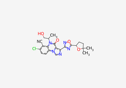 CC(CO)n1c(=O)c2c(-c3noc(C4CCC(C)(C)O4)n3)ncn2c2ccc(Cl)c(C#N)c21